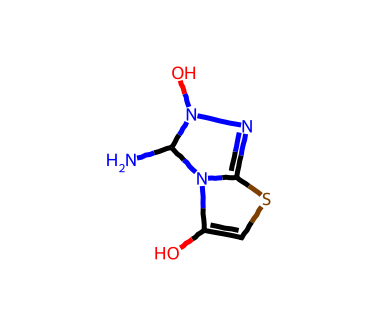 NC1N(O)N=C2SC=C(O)N21